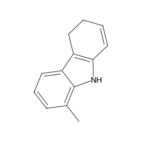 Cc1cccc2c3c([nH]c12)C=CCC3